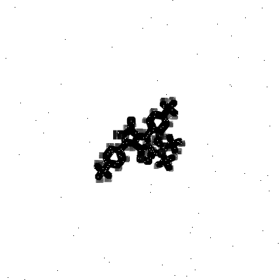 CC(C)(C)OC(=O)[N+]1(C(=O)OC(C)(C)C)C(=O)C2=C(c3ccc(C(C)(C)C)cc3)NC(=O)C2=C1c1ccc(C(C)(C)C)cc1